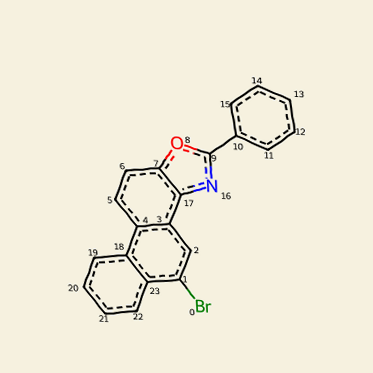 Brc1cc2c(ccc3oc(-c4ccccc4)nc32)c2ccccc12